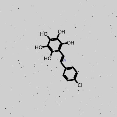 Oc1c(O)c(O)c(/C=C/c2ccc(Cl)cc2)c(O)c1O